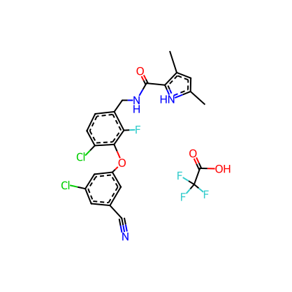 Cc1cc(C)c(C(=O)NCc2ccc(Cl)c(Oc3cc(Cl)cc(C#N)c3)c2F)[nH]1.O=C(O)C(F)(F)F